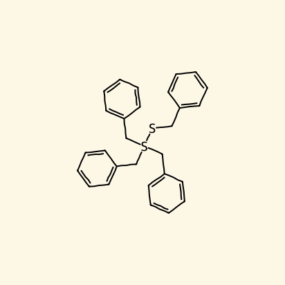 c1ccc(CSS(Cc2ccccc2)(Cc2ccccc2)Cc2ccccc2)cc1